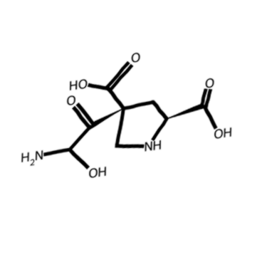 NC(O)C(=O)[C@]1(C(=O)O)CN[C@H](C(=O)O)C1